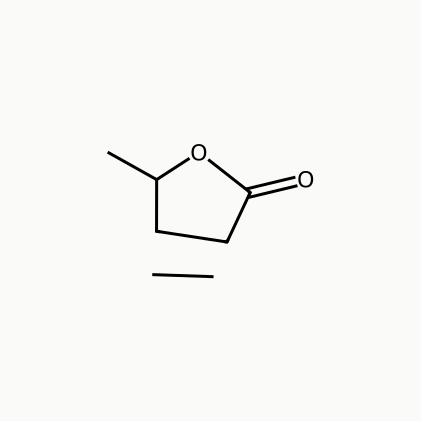 CC.CC1CCC(=O)O1